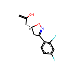 C=C(O)C[C@H]1CC(c2ccc(F)cc2F)=NO1